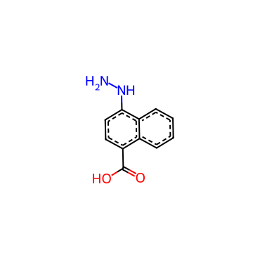 NNc1ccc(C(=O)O)c2ccccc12